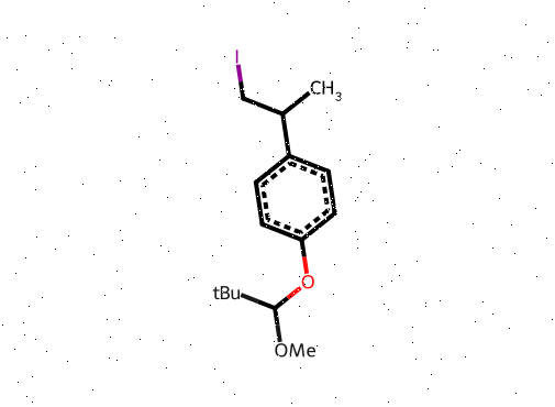 COC(Oc1ccc(C(C)CI)cc1)C(C)(C)C